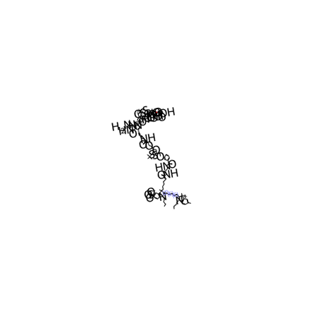 CCCCN1\C(=C/C=C/C=C/C2=[N+](CCCC)c3ccc(C)cc3C2(C)C)C(C)(CCCCCC(=O)NCCNC(=O)c2cccc(OCC(OCCOCC(=O)NCC#Cc3cn([C@H]4CC(O[C@@H](C)SSC)[C@@H](COP(=O)(O)OP(=O)(O)OP(=O)(O)O)O4)c4nc(N)[nH]c(=O)c34)SSC(C)(C)C)c2)c2cc(S(=O)(=O)[O-])ccc21